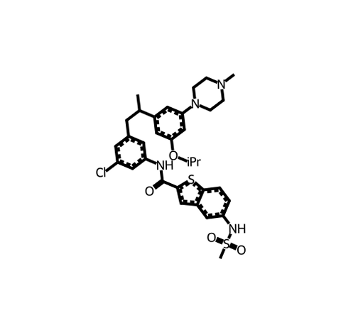 CC(C)Oc1cc(C(C)Cc2cc(Cl)cc(NC(=O)c3cc4cc(NS(C)(=O)=O)ccc4s3)c2)cc(N2CCN(C)CC2)c1